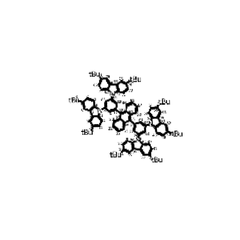 CC(C)(C)c1ccc2c(c1)c1cc(C(C)(C)C)ccc1n2-c1cc(-c2c3ccccc3c(-c3cc(-n4c5ccc(C(C)(C)C)cc5c5cc(C(C)(C)C)ccc54)cc(-n4c5ccc(C(C)(C)C)cc5c5cc(C(C)(C)C)ccc54)c3)c3ccccc23)cc(-n2c3ccc(C(C)(C)C)cc3c3cc(C(C)(C)C)ccc32)c1